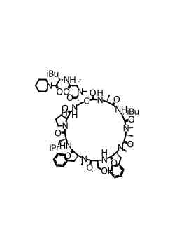 CC[C@H](C)[C@H](NC(=O)[C@H](C)N(C)C(=O)[C@@H]1CC(=O)N[C@@H](C)C(=O)N[C@@H]([C@@H](C)CC)C(=O)N(C)[C@@H](C)C(=O)N(C)[C@@H](Cc2ccccc2)C(=O)N[C@@H]([C@@H](C)O)C(=O)N(C)[C@@H](Cc2ccccc2)C(=O)N[C@@H](CC(C)C)C(=O)N2CCC[C@H]2C(=O)N1)C(=O)N1CCCCC1